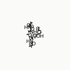 C=C[C@@H]1C[C@]1(NC(=O)[C@@H]1C[C@@](O)(C2C=CC=C(OC)C2)CN1C(=O)CNC(=O)OC(C)(C)C)C(=O)NS(=O)(=O)C1CC1